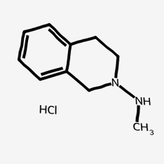 CNN1CCc2ccccc2C1.Cl